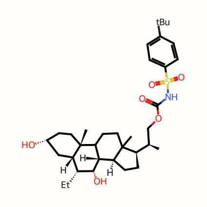 CC[C@H]1[C@@H](O)[C@@H]2C(CCC3(C)[C@@H]([C@H](C)COC(=O)NS(=O)(=O)c4ccc(C(C)(C)C)cc4)CC[C@@H]23)[C@@]2(C)CC[C@@H](O)C[C@@H]12